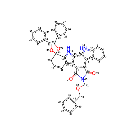 O=C1c2c(c3c4ccccc4[nH]c3c3[nH]c4c(c23)C=CCC4(OCc2ccccc2)OCc2ccccc2)C(=O)N1COCc1ccccc1